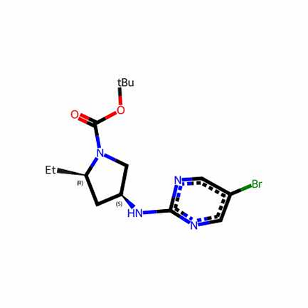 CC[C@@H]1C[C@H](Nc2ncc(Br)cn2)CN1C(=O)OC(C)(C)C